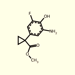 COC(=O)C1(c2cc(N)c(O)c(F)c2)CC1